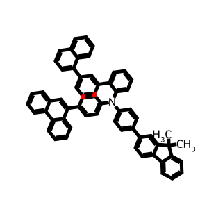 CC1(C)c2ccccc2-c2ccc(-c3ccc(N(c4ccc(-c5cc6ccccc6c6ccccc56)cc4)c4ccccc4-c4cccc(-c5cccc6ccccc56)c4)cc3)cc21